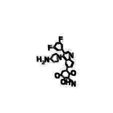 N#CC1=C(O)C(=O)CC(c2ccc3ncc(-c4cc(F)cc(F)c4)c(N4CCC(N)CC4)c3c2)C1=O